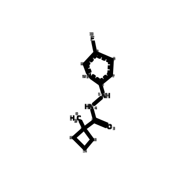 CC1(C(=O)NNc2ccc(F)cn2)CCC1